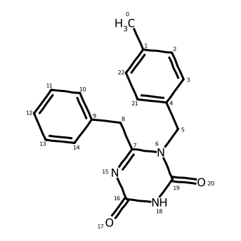 Cc1ccc(Cn2c(Cc3ccccc3)nc(=O)[nH]c2=O)cc1